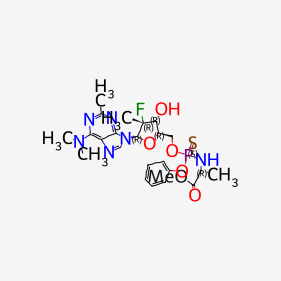 COC(=O)[C@@H](C)N[P@](=S)(OC[C@H]1O[C@@H](n2cnc3c(N(C)C)nc(C)nc32)[C@](C)(F)[C@@H]1O)Oc1ccccc1